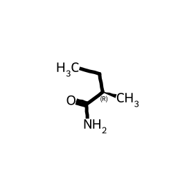 CC[C@@H](C)C(N)=O